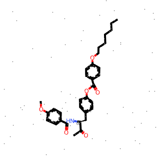 CCCCCCCOc1ccc(C(=O)Oc2ccc(C[C@H](NC(=O)c3ccc(OC)cc3)C(C)=O)cc2)cc1